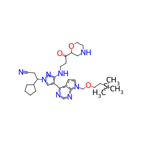 C[Si](C)(C)CCOCn1ccc2c(-c3cn(C(CC#N)C4CCCC4)nc3NCCC(=O)C3CNCCO3)ncnc21